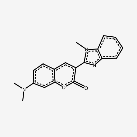 CN(C)c1ccc2cc(-c3nc4ccccc4n3C)c(=O)oc2c1